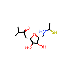 CC(S)NC[C@H]1O[C@@H](CC(=O)C(C)C)C(O)C1O